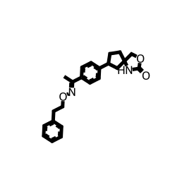 CC(=NOCCc1ccccc1)c1ccc(C2CCC3(COC(=O)N3)C2)cc1